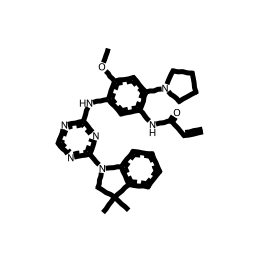 C=CC(=O)Nc1cc(Nc2ncnc(N3CC(C)(C)c4ccccc43)n2)c(OC)cc1N1CCCC1